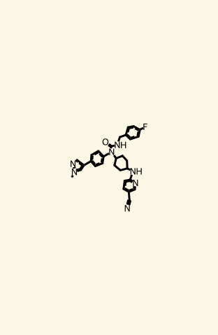 Cn1cc(-c2ccc(N(C(=O)NCc3ccc(F)cc3)C3CCC(Nc4ccc(C#N)cn4)CC3)cc2)cn1